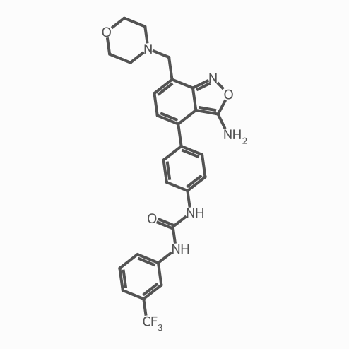 Nc1onc2c(CN3CCOCC3)ccc(-c3ccc(NC(=O)Nc4cccc(C(F)(F)F)c4)cc3)c12